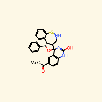 COC(=O)c1ccc2c(c1)C(OCc1ccccc1)(C1CNSc3ccccc3C1)N=C(O)N2